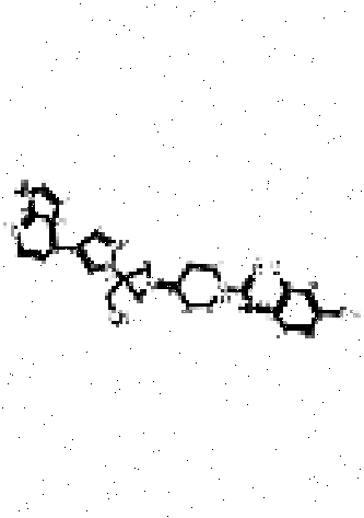 N#CCC1(n2cc(-c3ccnc4[nH]ccc34)cn2)CN(C2CCN(C(=O)Nc3ccc(F)cc3F)CC2)C1